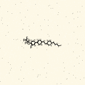 CCCCCC1CCC(CCC2CC=C(c3ccc(OC(F)(F)C(F)F)c(F)c3)CC2)CC1